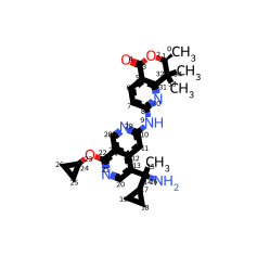 C[C@@H]1OC(=O)c2ccc(Nc3cc4c(C(C)(N)C5CC5)cnc(OC5CC5)c4cn3)nc2C1(C)C